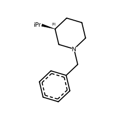 CC(C)[C@H]1CCCN(Cc2ccccc2)C1